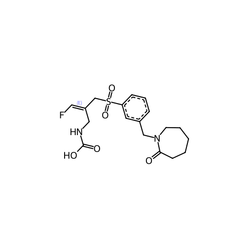 O=C(O)NC/C(=C\F)CS(=O)(=O)c1cccc(CN2CCCCCC2=O)c1